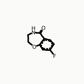 O=C1NCCOc2cc(F)ccc21